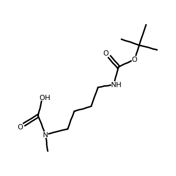 CN(CCCCNC(=O)OC(C)(C)C)C(=O)O